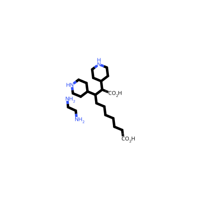 NCCN.O=C(O)CCCCCCC(C1CCNCC1)C(C(=O)O)C1CCNCC1